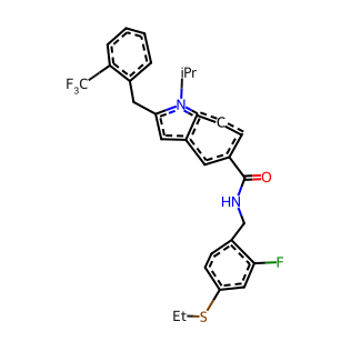 CCSc1ccc(CNC(=O)c2ccc3c(c2)cc(Cc2ccccc2C(F)(F)F)n3C(C)C)c(F)c1